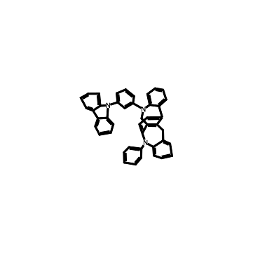 c1ccc(N2c3ccccc3Cc3c4ccc2c3CN(c2cccc(-n3c5ccccc5c5ccccc53)c2)c2ccccc2-4)cc1